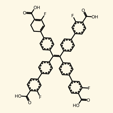 O=C(O)C1=C(F)C=C(c2ccc(C(=C(c3ccc(-c4ccc(C(=O)O)c(F)c4)cc3)c3ccc(-c4ccc(C(=O)O)c(F)c4)cc3)c3ccc(-c4ccc(C(=O)O)c(F)c4)cc3)cc2)CC1